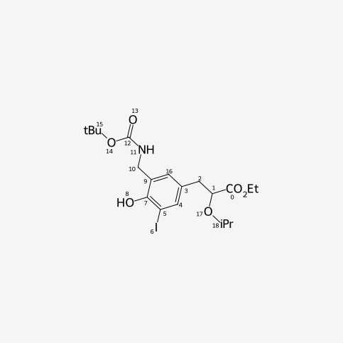 CCOC(=O)C(Cc1cc(I)c(O)c(CNC(=O)OC(C)(C)C)c1)OC(C)C